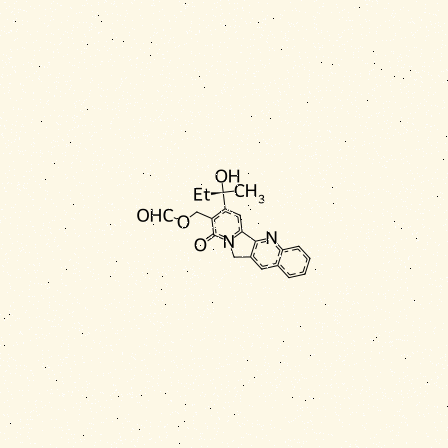 CC[C@](C)(O)c1cc2n(c(=O)c1COC=O)Cc1cc3ccccc3nc1-2